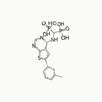 Cc1cccc(-c2cc3c(NC(P(=O)(O)O)P(=O)(O)O)ncnc3s2)c1